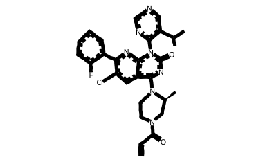 C=CC(=O)N1CCN(c2nc(=O)n(-c3ncncc3C(C)C)c3nc(-c4ccccc4F)c(Cl)cc23)[C@@H](C)C1